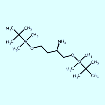 CC(C)(C)[Si](C)(C)OCC[C@@H](N)CO[Si](C)(C)C(C)(C)C